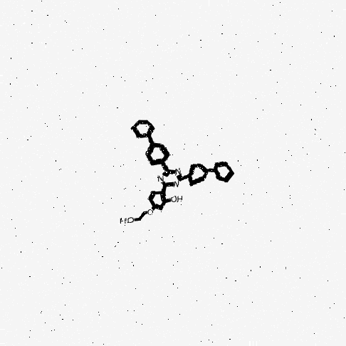 OCCOc1ccc(-c2nc(-c3ccc(-c4ccccc4)cc3)nc(-c3ccc(-c4ccccc4)cc3)n2)c(O)c1